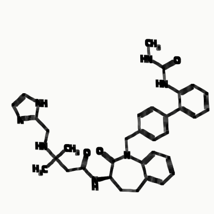 CNC(=O)Nc1ccccc1-c1ccc(CN2C(=O)[C@H](NC(=O)CC(C)(C)NCc3ncc[nH]3)CCc3ccccc32)cc1